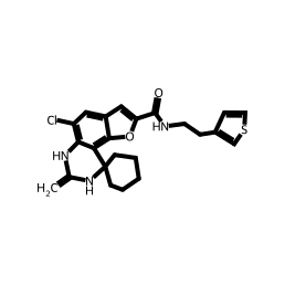 C=C1Nc2c(Cl)cc3cc(C(=O)NCCc4ccsc4)oc3c2C2(CCCCC2)N1